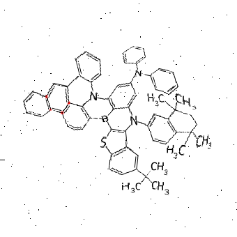 CC(C)(C)c1ccc2sc3c(c2c1)N(c1ccc2c(c1)C(C)(C)CCC2(C)C)c1cc(N(c2ccccc2)c2ccccc2)cc2c1B3c1ccc(-c3ccccc3)cc1N2c1ccccc1-c1ccccc1